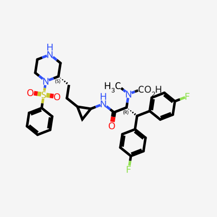 CN(C(=O)O)[C@@H](C(=O)NC1CC1CC[C@H]1CNCCN1S(=O)(=O)c1ccccc1)C(c1ccc(F)cc1)c1ccc(F)cc1